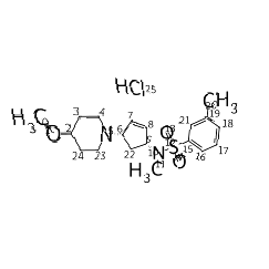 COC1CCN([C@@H]2C=C[C@H](N(C)S(=O)(=O)c3cccc(C)c3)C2)CC1.Cl